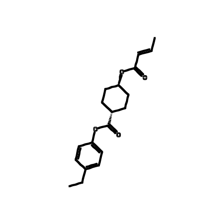 C/C=C/C(=O)O[C@H]1CC[C@H](C(=O)Oc2ccc(CC)cc2)CC1